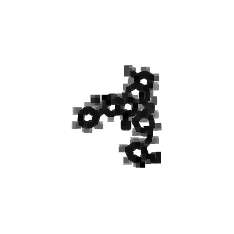 NC(Cn1c(=O)c2c(n(Cc3c(F)cccc3C(F)(F)F)c1=O)COC21CCN(Cc2cccnc2Cl)CC1)c1ccccc1